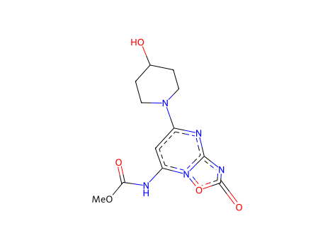 COC(=O)Nc1cc(N2CCC(O)CC2)nc2nc(=O)on12